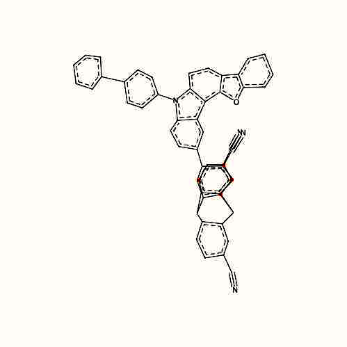 N#Cc1ccc2c(c1)C1c3cc(C#N)ccc3C2c2cc(-c3ccc4c(c3)c3c5oc6ccccc6c5ccc3n4-c3ccc(-c4ccccc4)cc3)c(C#N)cc21